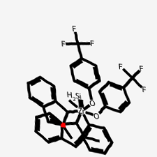 CC1=Cc2ccccc2[CH]1[Zr]([CH3])(=[SiH2])([O]c1ccc(C(F)(F)F)cc1)([O]c1ccc(C(F)(F)F)cc1)([c]1ccccc1)[CH]1C(C)=Cc2ccccc21